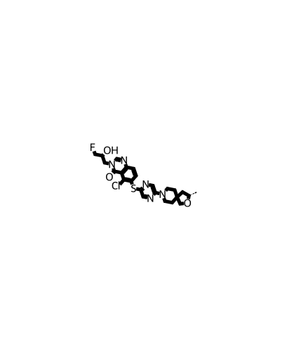 C[C@H]1CC2(CCN(c3cnc(Sc4ccc5ncn(CC(O)CF)c(=O)c5c4Cl)cn3)CC2)CO1